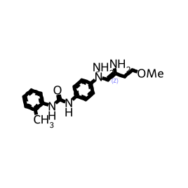 COCC/C(N)=C/N(N)c1ccc(NC(=O)Nc2ccccc2C)cc1